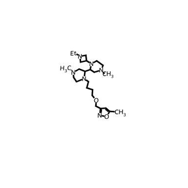 CCN1CC(N2CCN(C)CC2C2CN(C)CCN2CCCCOCc2cc(C)on2)C1